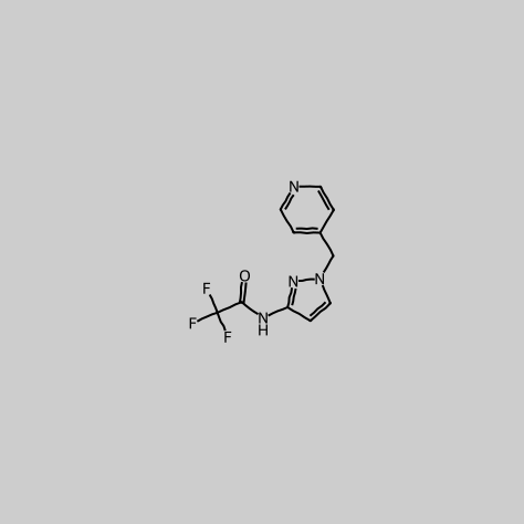 O=C(Nc1ccn(Cc2ccncc2)n1)C(F)(F)F